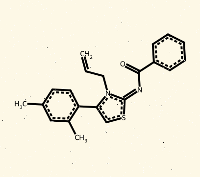 C=CCn1c(-c2ccc(C)cc2C)cs/c1=N/C(=O)c1ccccc1